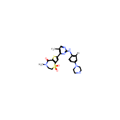 CCc1cc(N2CCNCC2)ccc1Nc1ncc(C(F)(F)F)c(-c2cc3c(s2)C(=O)N(C)CCS3(=O)=O)n1